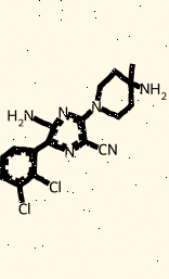 CC1(N)CCN(c2nc(N)c(-c3cccc(Cl)c3Cl)nc2C#N)CC1